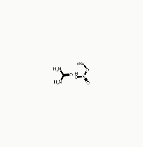 CCCCO[Si](=O)O.NC(N)=O